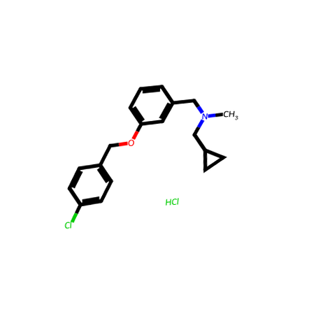 CN(Cc1cccc(OCc2ccc(Cl)cc2)c1)CC1CC1.Cl